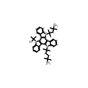 CCC(C)(C)n1c2ccccc2c2c1c1c3ccccc3n(C(C)(C)CC(C)(C)N)c1c1c3ccccc3n(C(C)(C)CCC(C)(C)N)c21